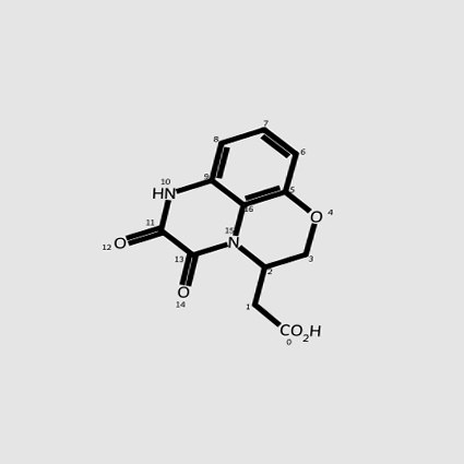 O=C(O)CC1COc2cccc3[nH]c(=O)c(=O)n1c23